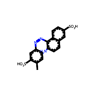 Cc1ccc(/N=N\c2c(N)ccc3cc(S(=O)(=O)O)ccc23)cc1S(=O)(=O)O